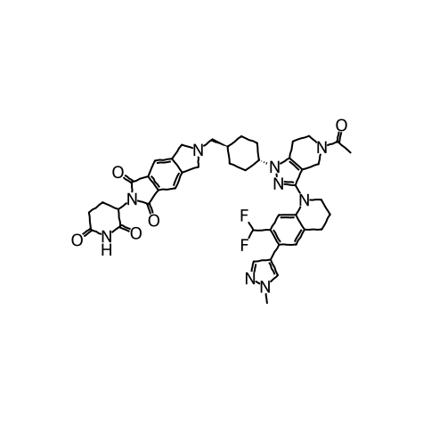 CC(=O)N1CCc2c(c(N3CCCc4cc(-c5cnn(C)c5)c(C(F)F)cc43)nn2[C@H]2CC[C@H](CN3Cc4cc5c(cc4C3)C(=O)N(C3CCC(=O)NC3=O)C5=O)CC2)C1